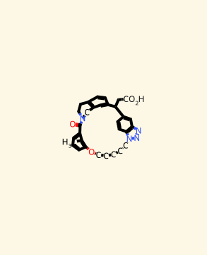 Cc1c2cccc1C(=O)N1CCc3ccc(cc3C1)C(CC(=O)O)c1ccc3c(c1)nnn3CCCCCO2